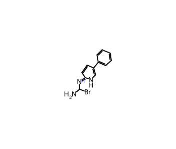 NC(Br)/N=c1/ccc(-c2ccccc2)c[nH]1